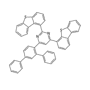 c1ccc(-c2ccc(-c3cc(-c4cccc5c4sc4ccccc45)nc(-c4cccc5sc6ccccc6c45)n3)c(-c3ccccc3)c2)cc1